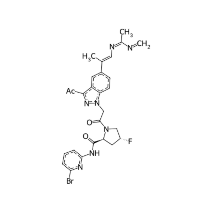 C=N/C(C)=N\C=C(/C)c1ccc2c(c1)c(C(C)=O)nn2CC(=O)N1C[C@H](F)C[C@H]1C(=O)Nc1cccc(Br)n1